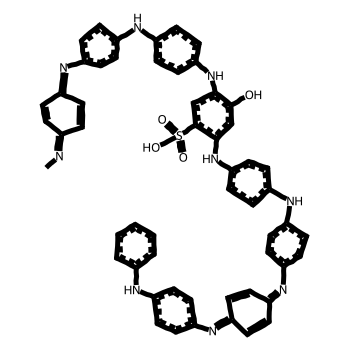 CN=C1C=CC(=Nc2ccc(Nc3ccc(Nc4cc(S(=O)(=O)O)c(Nc5ccc(Nc6ccc(N=C7C=CC(=Nc8ccc(Nc9ccccc9)cc8)C=C7)cc6)cc5)cc4O)cc3)cc2)C=C1